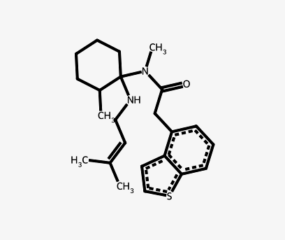 CC(C)=CCNC1(N(C)C(=O)Cc2cccc3sccc23)CCCCC1C